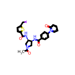 CC(=O)N1C[C@H](NC(=O)c2ccc(-n3ccccc3=O)cc2)[C@H](NC(=O)c2ccc(CI)s2)C1